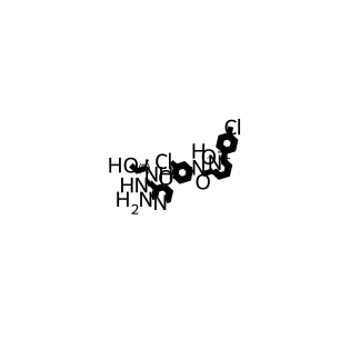 C[C@H](CO)NC(=N)c1c(Oc2ccc(NC(=O)c3cccc(-c4ccc(Cl)cc4)[n+]3[O-])cc2Cl)ccnc1N